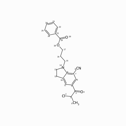 CC(Cl)C(=O)c1cc(C#N)c2c(c1)CCN2CCCOC(=O)c1ccccc1